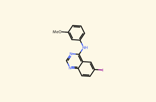 COc1cccc(Nc2ncnc3ccc(I)cc23)c1